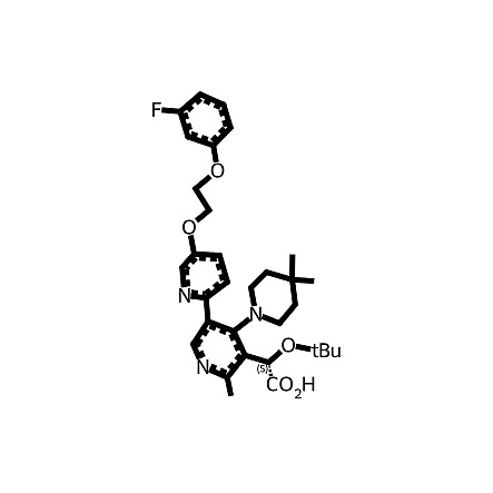 Cc1ncc(-c2ccc(OCCOc3cccc(F)c3)cn2)c(N2CCC(C)(C)CC2)c1[C@H](OC(C)(C)C)C(=O)O